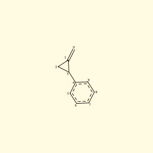 C=C1CC1c1ccccc1